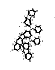 c1ccc(N(c2cc(N(c3ccccc3)c3ccc4oc5ccccc5c4c3)c3c(c2)sc2cc4ccccc4cc23)c2ccc3oc4ccccc4c3c2)cc1